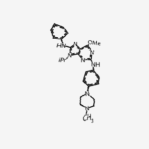 COc1nc(Nc2ccc(N3CCN(C)CC3)cc2)nc2c1nc(Nc1ccccc1)n2C(C)C